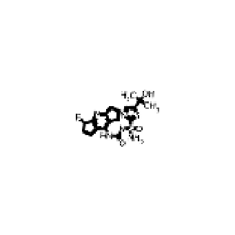 CC(C)(O)c1cnc(S(N)(=O)=NC(=O)Nc2c3c(nc4c2CCC4F)CCC3)s1